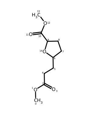 COC(=O)CCC1CCC(C(=O)OC)O1